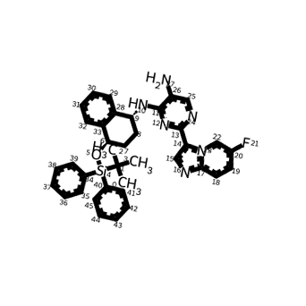 CC(C)(C)[Si](O[C@@H]1CC[C@@H](Nc2nc(-c3cnc4ccc(F)cn34)ncc2N)c2ccccc21)(c1ccccc1)c1ccccc1